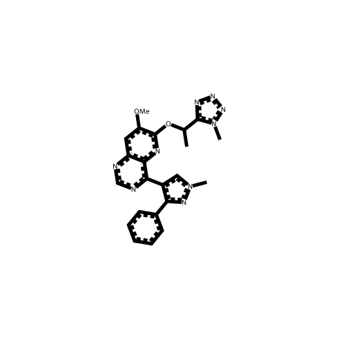 COc1cc2ncnc(-c3cn(C)nc3-c3ccccc3)c2nc1OC(C)c1nnnn1C